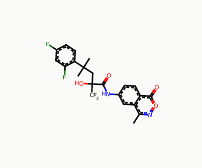 Cc1noc(=O)c2ccc(NC(=O)C(O)(CC(C)(C)c3ccc(F)cc3F)C(F)(F)F)cc12